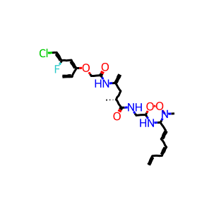 C=C/C=C\C=C\C1NC(CNC(=O)[C@H](C)CC(=C)NC(=O)CO/C(C=C)=C/C(F)=C/Cl)OON1C